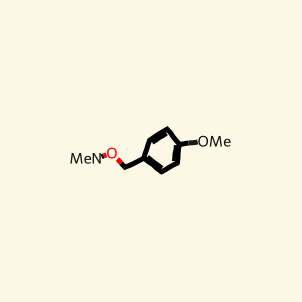 CNOCc1ccc(OC)cc1